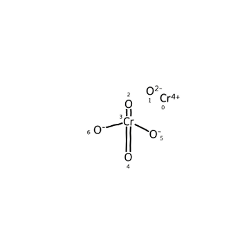 [Cr+4].[O-2].[O]=[Cr](=[O])([O-])[O-]